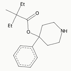 CCC(C)(CC)C(=O)OC1(c2ccccc2)CCNCC1